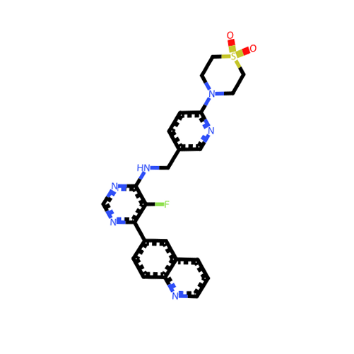 O=S1(=O)CCN(c2ccc(CNc3ncnc(-c4ccc5ncccc5c4)c3F)cn2)CC1